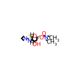 CCN(CC)C(=O)OC[C@@H]1C[C@H](O)[C@H]2N=C(N3CCC3)S[C@H]2O1